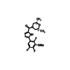 COc1c(F)c(F)cc(-c2ccc(C(=O)N3C[C@@H](C)O[C@@H](C)C3)[nH]2)c1F